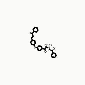 CCCCCCC(=NOC(=O)c1ccccc1)C(=O)c1ccc(Sc2ccc(C=CC(=O)c3ccccc3)cc2)cc1